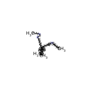 CCCCC/C=C\C/C=C\CCCCCCCCC1(CCCCCCCC/C=C\CCCCCCC)O[C@H]2C[C@@H](ON(C)C)C[C@H]2O1